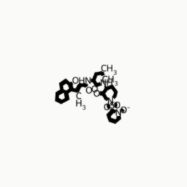 Cc1c(C(=O)NC(CC(C)C)C(=O)N[C@H]2CCCN(S(=O)(=O)c3cccc[n+]3[O-])CC2=O)oc2ccc3ccccc3c12